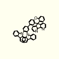 c1ccc2c(c1)Oc1ccc(-c3ccc(-n4c5ccccc5c5ccccc54)c(-n4c5ccccc5c5ccccc54)c3)cc1C21c2cccnc2-c2ncccc21